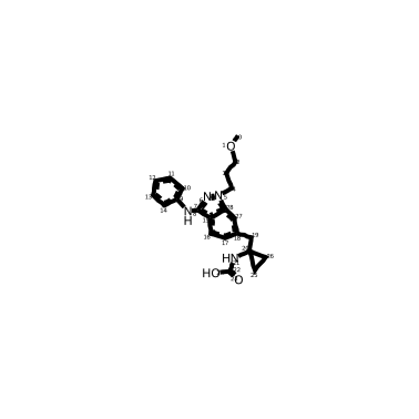 COCCCn1nc(Nc2ccccc2)c2ccc(CC3(NC(=O)O)CC3)cc21